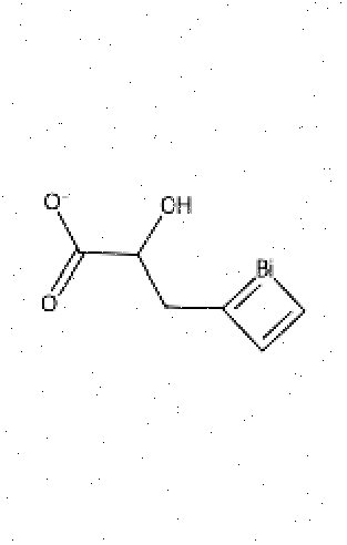 O=C([O-])C(O)C[C]1=[Bi][CH]=C1